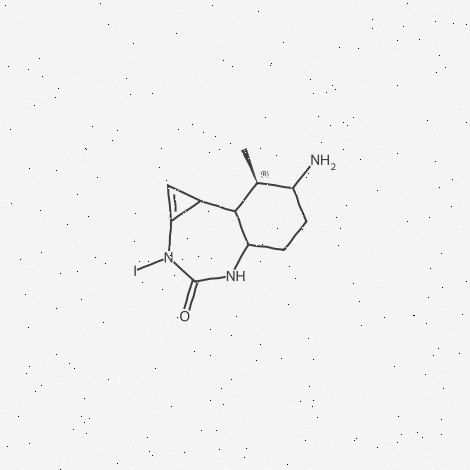 C[C@H]1C(N)CCC2NC(=O)N(I)C3=CC3C21